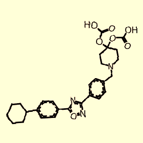 O=C(O)OC1(OC(=O)O)CCN(Cc2ccc(-c3noc(-c4ccc(C5CCCCC5)cc4)n3)cc2)CC1